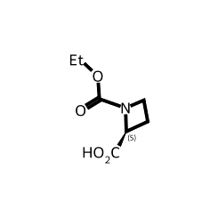 CCOC(=O)N1CC[C@H]1C(=O)O